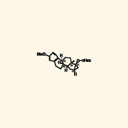 CCCCCCO[C@@]12C[C@@H]1C[C@H]1[C@@H]3CCc4cc(OC)ccc4[C@H]3CC[C@@]12C